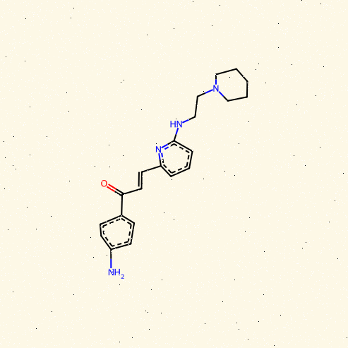 Nc1ccc(C(=O)C=Cc2cccc(NCCN3CCCCC3)n2)cc1